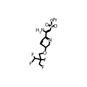 CCCS(=O)(=O)/C=C(\N)C1=NCC(OCC(F)(CF)C(F)F)C=C1